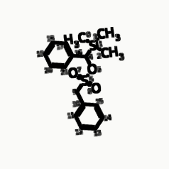 C[Si](C)(C)C(OS(=O)(=O)Cc1ccccc1)c1ccccc1